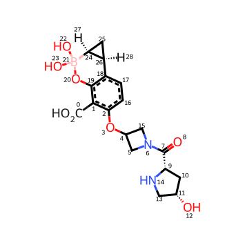 O=C(O)c1c(OC2CN(C(=O)[C@@H]3C[C@H](O)CN3)C2)ccc2c1O[B-](O)(O)[C@H]1C[C@@H]21